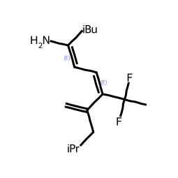 C=C(CC(C)C)/C(=C\C=C(\N)C(C)CC)C(C)(F)F